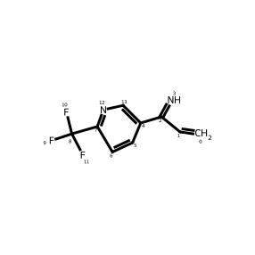 C=CC(=N)c1ccc(C(F)(F)F)nc1